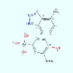 CC(=O)Nc1cc([As](=O)(O)O)ccc1O.O=[N+]([O-])c1cccc2[nH]ncc12